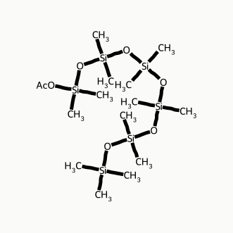 CC(=O)O[Si](C)(C)O[Si](C)(C)O[Si](C)(C)O[Si](C)(C)O[Si](C)(C)O[Si](C)(C)C